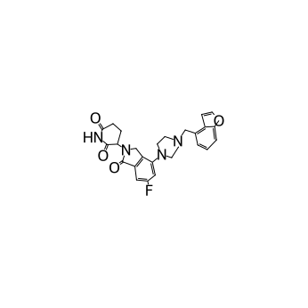 O=C1CCC(N2Cc3c(cc(F)cc3N3CCN(Cc4cccc5occc45)CC3)C2=O)C(=O)N1